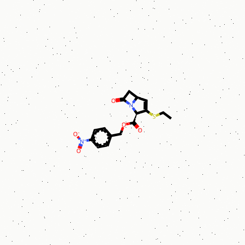 CCSC1=CC2CC(=O)N2[C@@H]1C(=O)OCc1ccc([N+](=O)[O-])cc1